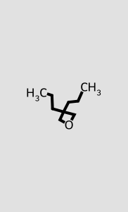 CCCC1(CCC)COC1